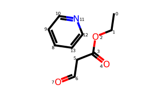 CCOC(=O)CC=O.c1ccncc1